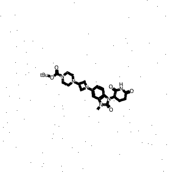 Cn1c(=O)n(C2CCC(=O)NC2=O)c2ccc(N3CC(N4CCN(C(=O)OC(C)(C)C)CC4)C3)cc21